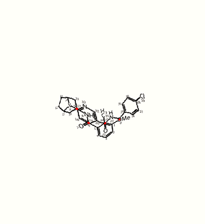 COc1cccc(C(=O)NC2CC3CCC(C2)N3c2ccc(C(=O)NCc3ccc(Cl)cc3)cn2)c1C